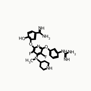 CN(c1c(F)c(Oc2cccc(NC(=N)N)c2)nc(Oc2cc(C(=N)N)ccc2O)c1F)C1CCNCC1